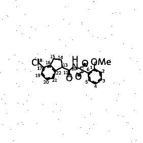 COc1ccccc1S(=O)(=O)NC(=O)C1CCc2c(Cl)cccc21